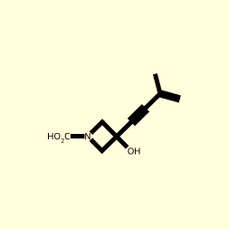 C=C(C)C#CC1(O)CN(C(=O)O)C1